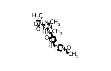 C=CC(=O)N1CCN(Cc2ccc([C@H](C)Nc3nc(C)nc(N4C(=O)OC[C@@H]4CC)n3)c(=O)[nH]2)CC1